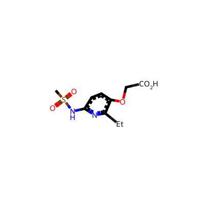 CCc1nc(NS(C)(=O)=O)ccc1OCC(=O)O